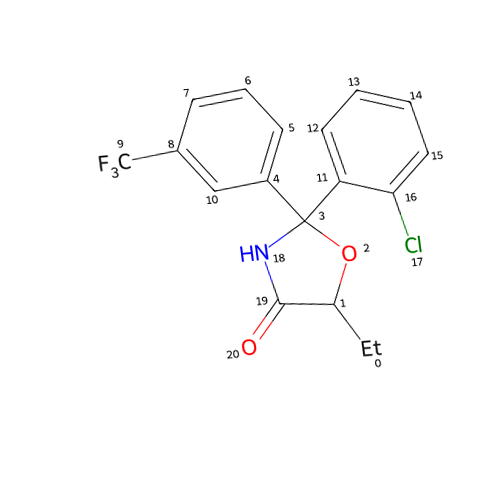 CCC1OC(c2cccc(C(F)(F)F)c2)(c2ccccc2Cl)NC1=O